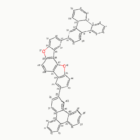 C1=CC2c3ccccc3-c3ccc(-c4ccc5oc6ccc7c8cc(-c9ccc%10c%11ccccc%11c%11ccccc%11c%10c9)ccc8oc7c6c5c4)cc3C2C=C1